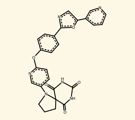 O=C1NC(=O)C2(CCCN2c2ccc(Oc3ccc(-c4ncc(-c5cccnc5)o4)cc3)nc2)C(=O)N1